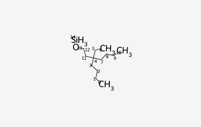 CCCCC(CC)(CCCC)CCO[SiH3]